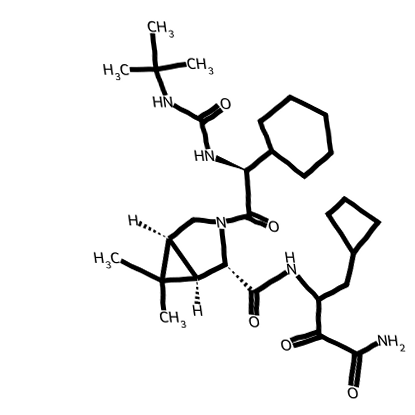 CC(C)(C)NC(=O)N[C@H](C(=O)N1C[C@H]2[C@@H]([C@H]1C(=O)NC(CC1CCC1)C(=O)C(N)=O)C2(C)C)C1CCCCC1